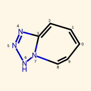 C1=CC=C2N=NNN2C=C1